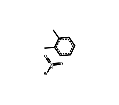 Cc1ccccc1C.O=[SH](=O)Br